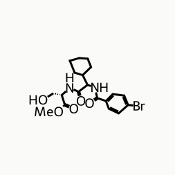 COC(=O)[C@H](CO)NC(=O)C(NC(=O)c1ccc(Br)cc1)C1CCCCC1